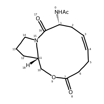 CC(=O)N[C@@H]1CC=CCCC(=O)OC[C@@H]2CCCN2C1=O